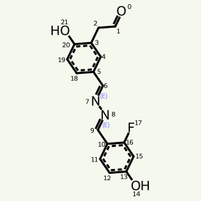 O=CCc1cc(/C=N/N=C/c2ccc(O)cc2F)ccc1O